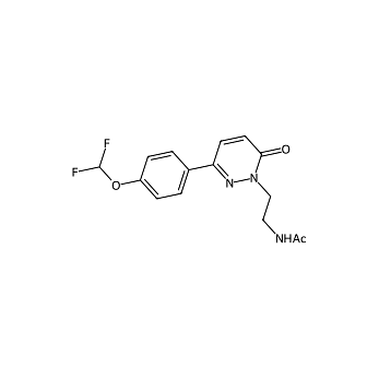 CC(=O)NCCn1nc(-c2ccc(OC(F)F)cc2)ccc1=O